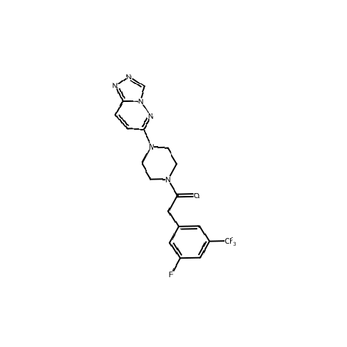 O=C(Cc1cc(F)cc(C(F)(F)F)c1)N1CCN(c2ccc3nncn3n2)CC1